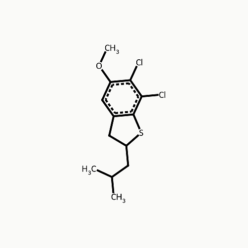 COc1cc2c(c(Cl)c1Cl)SC(CC(C)C)C2